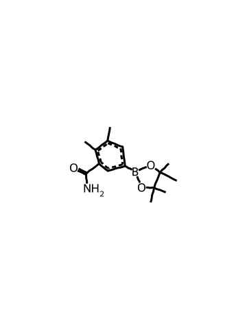 Cc1cc(B2OC(C)(C)C(C)(C)O2)cc(C(N)=O)c1C